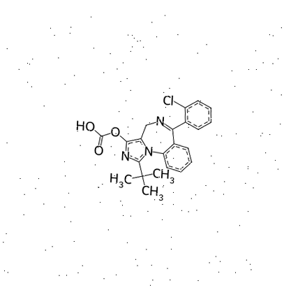 CC(C)(C)c1nc(OC(=O)O)c2n1-c1ccccc1C(c1ccccc1Cl)=NC2